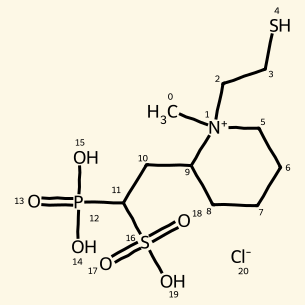 C[N+]1(CCS)CCCCC1CC(P(=O)(O)O)S(=O)(=O)O.[Cl-]